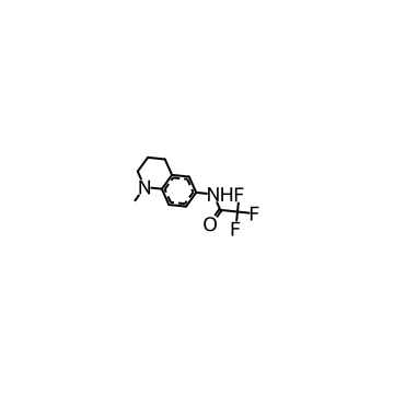 CN1CCCc2cc(NC(=O)C(F)(F)F)ccc21